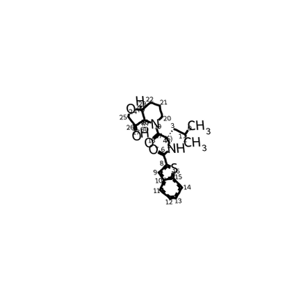 CC(C)C[C@H](NC(=O)c1cc2ccccc2s1)C(=O)N1CCC[C@@H]2OCC(=O)[C@@H]21